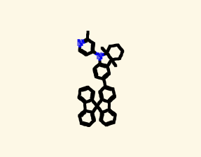 Cc1cc(N2c3ccc(-c4ccc5c(c4)C4(c6ccccc6-c6ccccc64)c4ccccc4-5)cc3C3(C)CCCCC23C)ccn1